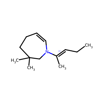 CC/C=C(\C)N1C=CCCC(C)(C)C1